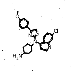 COc1ccc(-c2csc(N(c3ccnc4cc(Cl)ccc34)C3CCC(N)CC3)n2)cc1